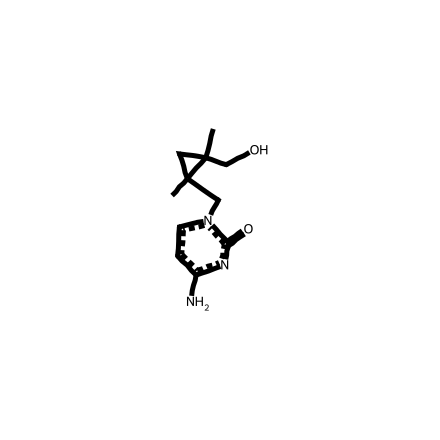 CC1(CO)CC1(C)Cn1ccc(N)nc1=O